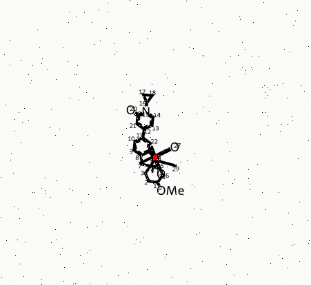 COC1CCC2(CC1)Cc1ccc(-c3ccn(C4CC4)c(=O)c3)cc1C21NC(=O)N(C)C1=O